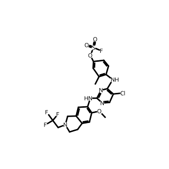 COc1cc2c(cc1Nc1ncc(Cl)c(Nc3ccc(OS(=O)(=O)F)cc3C)n1)CN(CC(F)(F)F)CC2